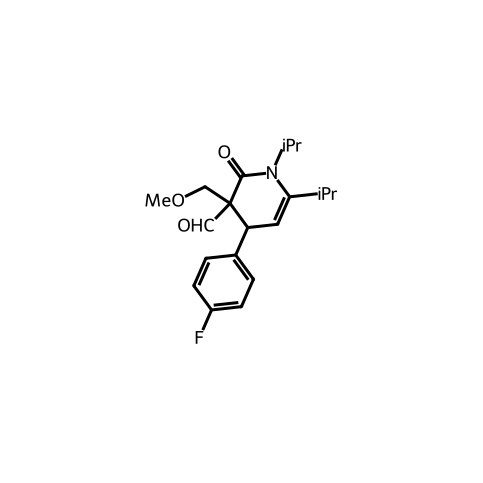 COCC1(C=O)C(=O)N(C(C)C)C(C(C)C)=CC1c1ccc(F)cc1